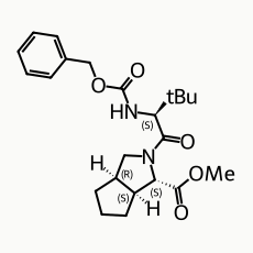 COC(=O)[C@@H]1[C@H]2CCC[C@H]2CN1C(=O)[C@@H](NC(=O)OCc1ccccc1)C(C)(C)C